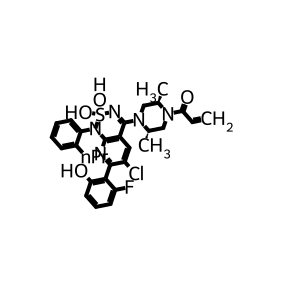 C=CC(=O)N1C[C@H](C)N(C2=NS(O)(O)N(c3ccccc3CCC)c3nc(-c4c(O)cccc4F)c(Cl)cc32)C[C@H]1C